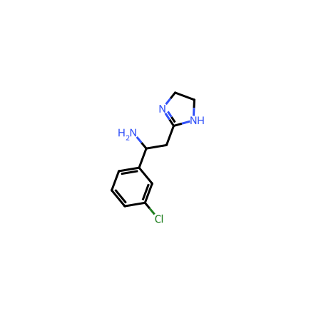 NC(CC1=NCCN1)c1cccc(Cl)c1